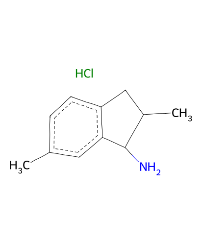 Cc1ccc2c(c1)C(N)C(C)C2.Cl